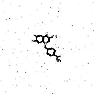 CCCC(F)c1ccc(Cn2cc(C#N)c(=O)c3cc(F)c(F)cc32)cc1